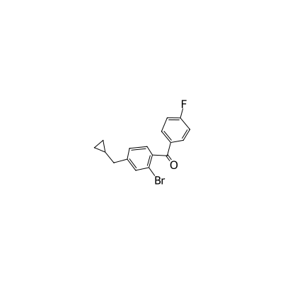 O=C(c1ccc(F)cc1)c1ccc(CC2CC2)cc1Br